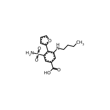 CCCCNc1cc(C(=O)O)cc(S(N)(=O)=O)c1-c1ccco1